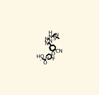 Cc1ncc(Nc2ncnc(C3=CCC(C#N)=C(O[C@H]4CCN(C(=O)[C@H](C)O)C[C@H]4F)C=C3)n2)s1